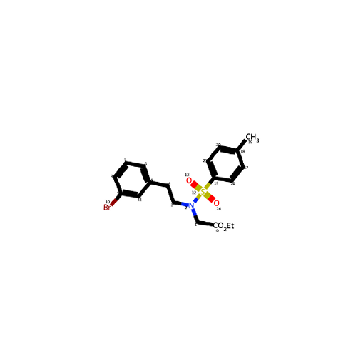 CCOC(=O)CN(CCc1cccc(Br)c1)S(=O)(=O)c1ccc(C)cc1